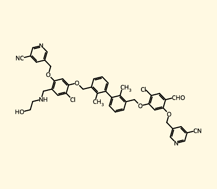 Cc1c(COc2cc(OCc3cncc(C#N)c3)c(C=O)cc2Cl)cccc1-c1cccc(COc2cc(OCc3cncc(C#N)c3)c(CNCCO)cc2Cl)c1C